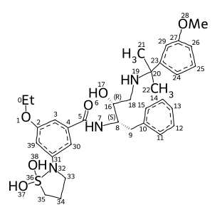 CCOc1cc(C(=O)N[C@@H](Cc2ccccc2)[C@H](O)CNC(C)(C)c2cccc(OC)c2)cc(N2CCCS2(O)O)c1